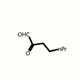 CCCCCC(=O)[C]=O